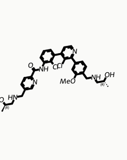 COc1cc(-c2nccc(-c3cccc(NC(=O)c4ccc(CNC[C@@H](C)O)cn4)c3Cl)c2Cl)ccc1CNC[C@@H](C)O